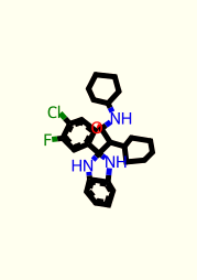 O=C(NC1CCCCC1)C(C1CCCCC1)C1(c2ccc(Cl)c(F)c2)Nc2ccccc2N1